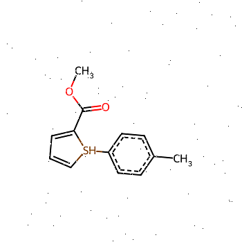 COC(=O)C1=CC=C[SH]1c1ccc(C)cc1